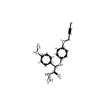 CC#CCOc1ccc(SC(C(=O)NO)c2ccc(OCC)cc2)cc1